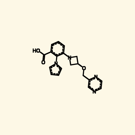 O=C(O)c1cccc(N2CC(OCc3cnccn3)C2)c1-n1cccc1